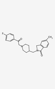 Cc1ccc2c(c1)CN(CC1CCN(CC(=O)c3ccc(F)cc3)CC1)C2=O